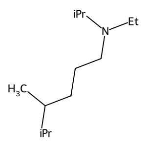 CCN(CCCC(C)C(C)C)C(C)C